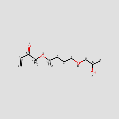 C=CC(=O)[SiH2]O[SiH2]CCCOCC(C)O